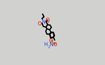 CCCN1C(=O)CC2C3CCc4cc(CS(N)(=O)=O)ccc4C3CC[C@]2(C)C1=O